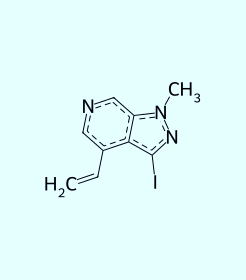 C=Cc1cncc2c1c(I)nn2C